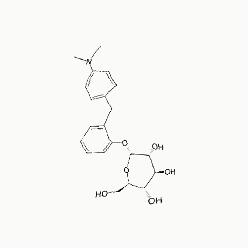 CN(C)c1ccc(Cc2ccccc2O[C@H]2O[C@H](CO)[C@@H](O)[C@H](O)[C@H]2O)cc1